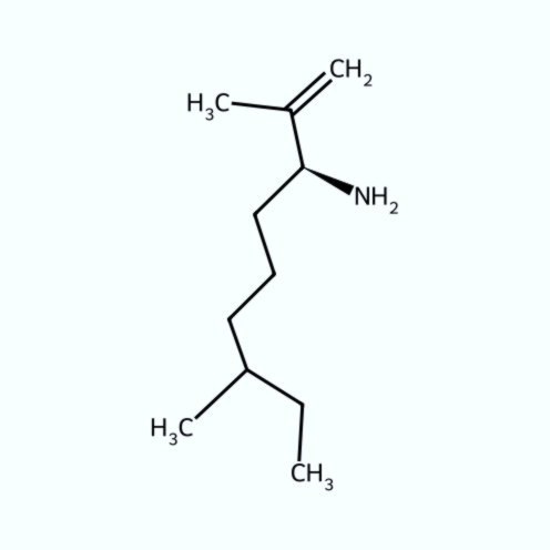 C=C(C)[C@@H](N)CCCC(C)CC